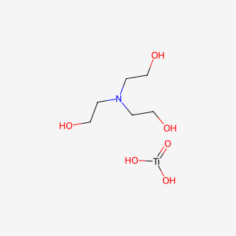 OCCN(CCO)CCO.[O]=[Ti]([OH])[OH]